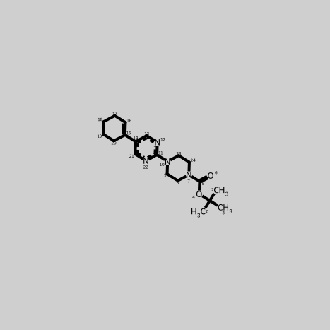 CC(C)(C)OC(=O)N1CCN(c2ncc(C3=CCCCC3)cn2)CC1